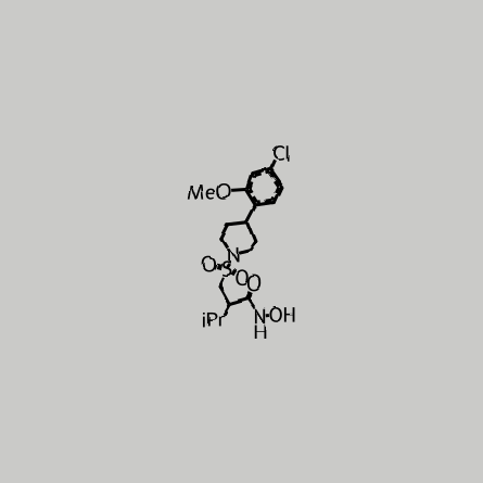 COc1cc(Cl)ccc1C1CCN(S(=O)(=O)CC(C(=O)NO)C(C)C)CC1